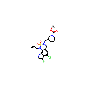 C=CCN1c2c(cc(Cl)c3c(Cl)c[nH]c23)CN(CC2CCCN(C(=O)OC(C)(C)C)C2)S1(=O)=O